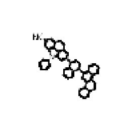 N#Cc1cc2ccc3cc(-c4ccc(-c5cc6c7ccccc7ccc6c6ccccc56)c5ccccc45)cc4c3c2c(c1)n4-c1ccccc1